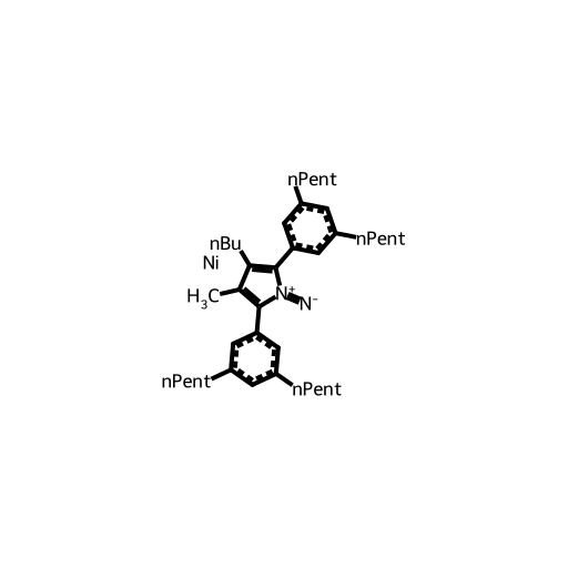 CCCCCc1cc(CCCCC)cc(C2=C(C)C(CCCC)=C(c3cc(CCCCC)cc(CCCCC)c3)[N+]2=[N-])c1.[Ni]